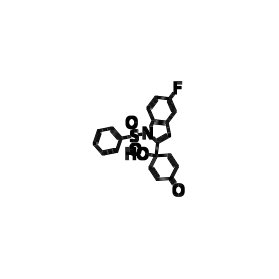 O=C1C=CC(O)(c2cc3cc(F)ccc3n2S(=O)(=O)c2ccccc2)C=C1